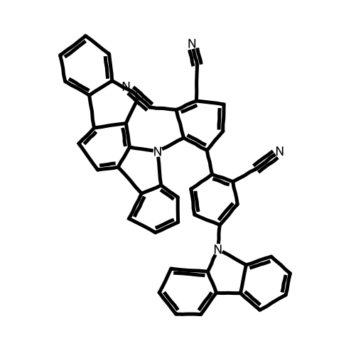 N#Cc1cc(-n2c3ccccc3c3ccccc32)ccc1-c1ccc(C#N)c(C#N)c1-n1c2ccccc2c2ccc3c4ccccc4oc3c21